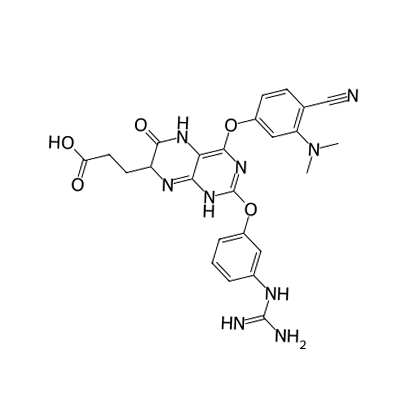 CN(C)c1cc(OC2=C3NC(=O)C(CCC(=O)O)N=C3NC(Oc3cccc(NC(=N)N)c3)=N2)ccc1C#N